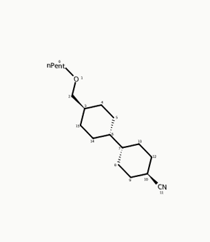 CCCCCOC[C@H]1CC[C@H]([C@H]2CC[C@H](C#N)CC2)CC1